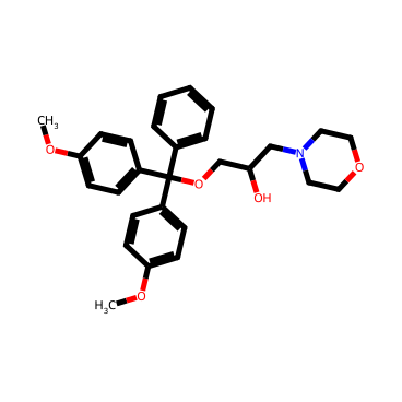 COc1ccc(C(OCC(O)CN2CCOCC2)(c2ccccc2)c2ccc(OC)cc2)cc1